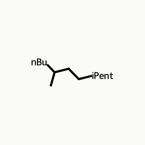 CCCCC(C)CCC(C)CCC